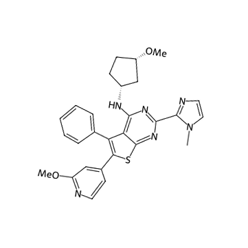 COc1cc(-c2sc3nc(-c4nccn4C)nc(N[C@@H]4CC[C@H](OC)C4)c3c2-c2ccccc2)ccn1